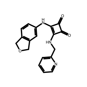 O=c1c(NCc2ccccn2)c(Nc2ccc3c(c2)COC3)c1=O